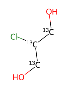 O[13CH2][13CH](Cl)[13CH2]O